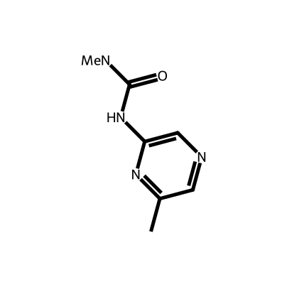 CNC(=O)Nc1cncc(C)n1